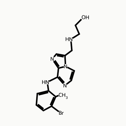 Cc1c(Br)cccc1Nc1nccn2c(CNCCO)cnc12